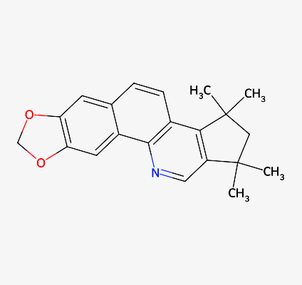 CC1(C)CC(C)(C)c2c1cnc1c2ccc2cc3c(cc21)OCO3